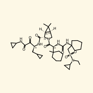 CCN(C1CC1)S(=O)(=O)CC1(NC(=O)N[C@H](C(=O)N2C[C@H]3[C@@H]([C@H]2C(=O)N[C@@H](CC2CC2)C(=O)C(=O)NC2CC2)C3(C)C)C2(C)CCCCC2)CCCCC1